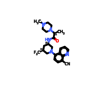 C[C@@H](C(=O)N[C@@H]1C[C@H](C(F)(F)F)CN(c2ccc(C#N)c3ncccc23)C1)N1CCN(C)CC1